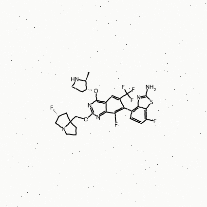 C[C@@H]1NCC[C@H]1Oc1nc(OCC23CCCN2C[C@H](F)C3)nc2c(F)c(-c3ccc(F)c4sc(N)nc34)c(C(F)(F)F)cc12